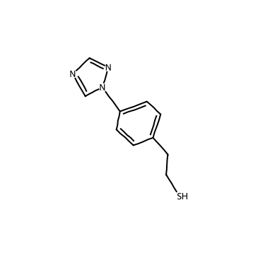 SCCc1ccc(-n2cncn2)cc1